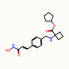 O=C(C=Cc1ccc(CNC2(C(=O)OC3CCCC3)CCC2)cc1)NO